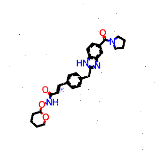 O=C(/C=C/c1ccc(Cc2nc3cc(C(=O)N4CCCC4)ccc3[nH]2)cc1)NOC1CCCCO1